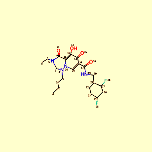 CCCCN1CN(CC)C(=O)c2c(O)c(=O)c(C(=O)NCC3CCC(F)CC3F)cn21